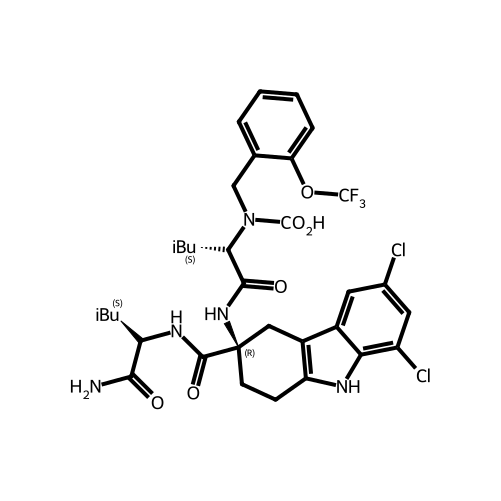 CC[C@H](C)C(NC(=O)[C@@]1(NC(=O)C([C@@H](C)CC)N(Cc2ccccc2OC(F)(F)F)C(=O)O)CCc2[nH]c3c(Cl)cc(Cl)cc3c2C1)C(N)=O